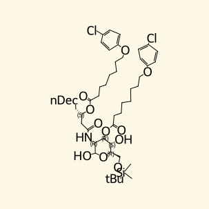 CCCCCCCCCCC[C@@H](CC(=O)N[C@H]1C(O)O[C@H](CO[Si](C)(C)C(C)(C)C)[C@@H](O)[C@@H]1OC(=O)CCCCCCCOc1ccc(Cl)cc1)OC(=O)CCCCCCCOc1ccc(Cl)cc1